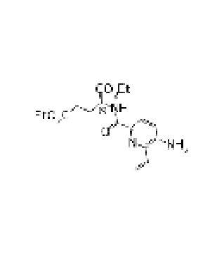 C=Cc1nc(C(=O)N[C@@H](CCC(=O)OCC)C(=O)OCC)ccc1N